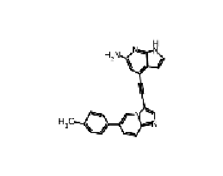 Cc1ccc(-c2ccc3ncc(C#Cc4cc(N)nc5[nH]ccc45)n3c2)cc1